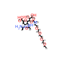 C=C(N)N[C@@H]1C=C(C(=O)O)O[C@H]([C@H](OC(=O)N(C)CCOCCOCCOCCOCC)[C@H](O)CO)[C@H]1NC(C)=O